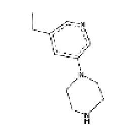 CCc1cncc(N2CCNCC2)c1